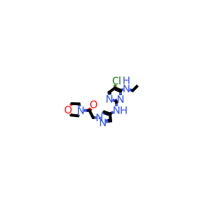 CCNc1nc(Nc2cnn(CC(=O)N3CCOCC3)c2)ncc1Cl